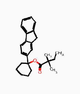 CCC(C)(C)C(=O)OC1(c2ccc3c(c2)Cc2ccccc2-3)CCCCC1